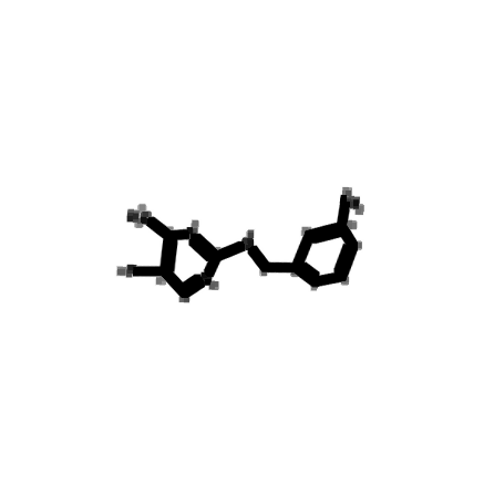 Cc1nc(OCc2cccc(N)c2)ncc1F